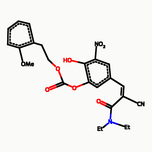 CCN(CC)C(=O)C(C#N)=Cc1cc(OC(=O)OCCc2ccccc2OC)c(O)c([N+](=O)[O-])c1